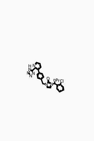 CCCC(c1ccccc1Cl)n1ccn(Cc2ccc(-c3cccnc3-c3nnn[nH]3)cc2)c1=O